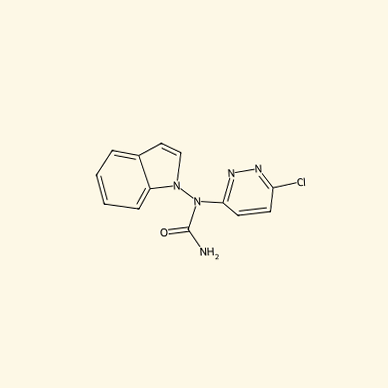 NC(=O)N(c1ccc(Cl)nn1)n1ccc2ccccc21